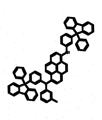 Cc1cccc(N(c2cccc(C3(c4ccccc4)c4ccccc4-c4ccccc43)c2)c2ccc3ccc4c(Nc5cccc(C6(c7ccccc7)c7ccccc7-c7ccccc76)c5)ccc5ccc2c3c54)c1